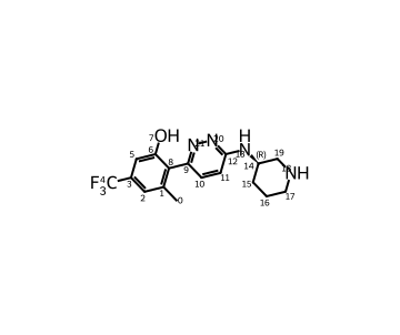 Cc1cc(C(F)(F)F)cc(O)c1-c1ccc(N[C@@H]2CCCNC2)nn1